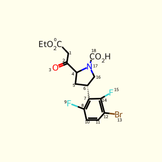 CCOC(=O)CC(=O)C1C[C@@H](c2c(F)ccc(Br)c2F)CN1C(=O)O